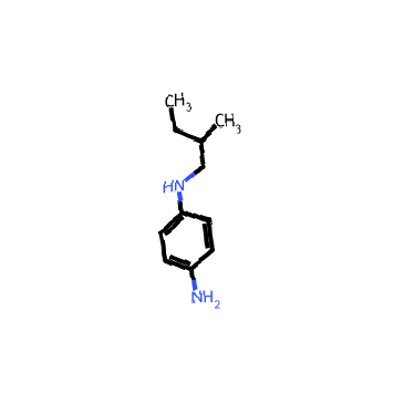 CCC(C)CNc1ccc(N)cc1